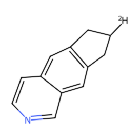 [2H]C1Cc2cc3ccncc3cc2C1